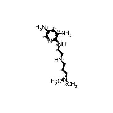 CN(C)CCCNCCNc1ncc(N)cc1N